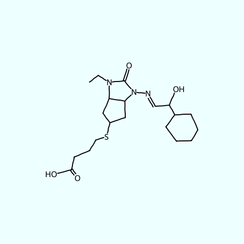 CCN1C(=O)N(N=CC(O)C2CCCCC2)C2CC(SCCCC(=O)O)CC21